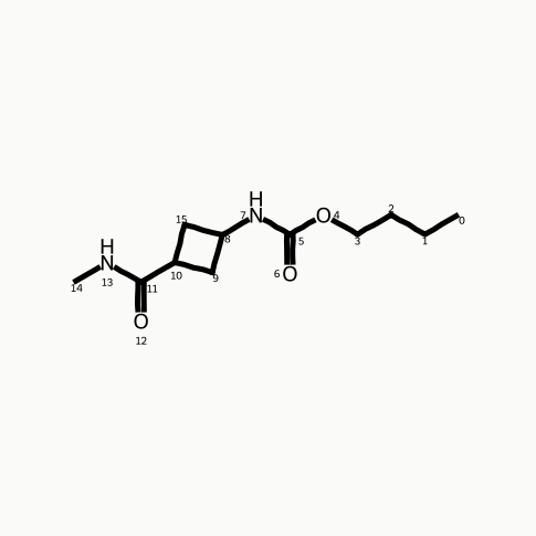 CCCCOC(=O)NC1CC(C(=O)NC)C1